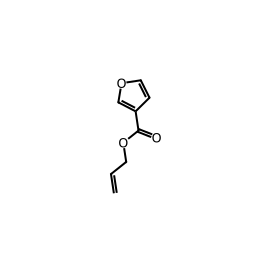 C=CCOC(=O)c1ccoc1